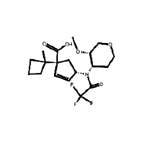 CO[C@@H]1COCC[C@@H]1N(C(=O)C(F)(F)F)[C@@H]1C=C[C@@](C(=O)O)(C2(C)CCC2)C1